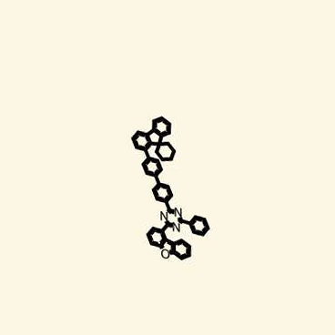 c1ccc(-c2nc(-c3ccc(-c4ccc(-c5cccc6c5C5(CCCCC5)c5ccccc5-6)cc4)cc3)nc(-c3cccc4oc5ccccc5c34)n2)cc1